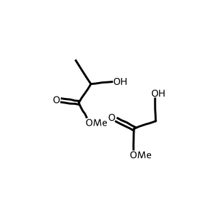 COC(=O)C(C)O.COC(=O)CO